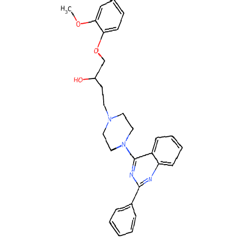 COc1ccccc1OCC(O)CCN1CCN(c2nc(-c3ccccc3)nc3ccccc23)CC1